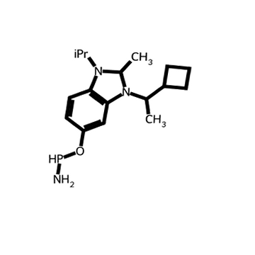 CC(C)N1c2ccc(OPN)cc2N(C(C)C2CCC2)C1C